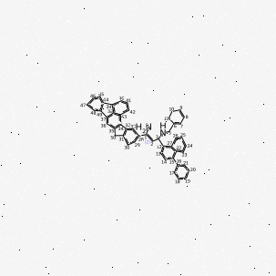 N/C(=C\C(NCC1=CC=CCC1)c1ccc(-c2ccccc2)c2ccccc12)c1ccc2c(c1)-c1c(cc3c4c(cccc14)-c1ccccc1-3)C2